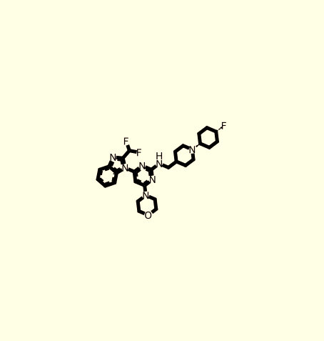 FC(F)c1nc2ccccc2n1-c1cc(N2CCOCC2)nc(NCC2CCN([C@H]3CC[C@@H](F)CC3)CC2)n1